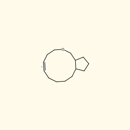 C1=C\CCOCC2CCCC2CCCC/1